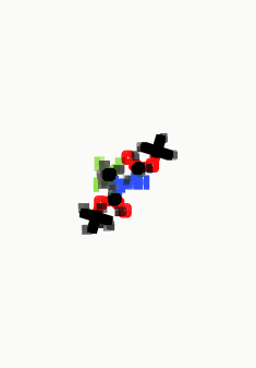 CC(C)(C)OC(=O)NN(C(=O)OC(C)(C)C)C(F)(F)F